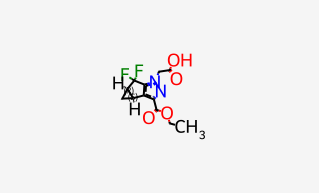 CCOC(=O)c1nn(CC(=O)O)c2c1[C@H]1C[C@H]1C2(F)F